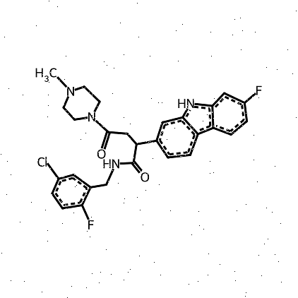 CN1CCN(C(=O)CC(C(=O)NCc2cc(Cl)ccc2F)c2ccc3c(c2)[nH]c2cc(F)ccc23)CC1